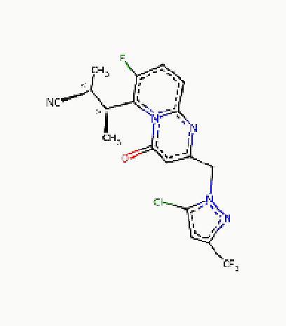 C[C@H](C#N)[C@H](C)c1c(F)ccc2nc(Cn3nc(C(F)(F)F)cc3Cl)cc(=O)n12